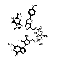 COc1ccc(C2OC3C(O2)[C@@H](COP(=O)(O)OP(=O)(O)OP(=O)(O)OC[C@H]2O[C@@H](n4cnc5c(=O)[nH]c(N)nc54)C(O)C2O)O[C@H]3n2c[n+](C)c3c(=O)[nH]c(N)nc32)cc1